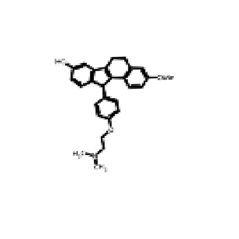 COc1ccc2c(c1)CCC1=C2C(c2ccc(OCCN(C)C)cc2)c2ccc(O)cc21